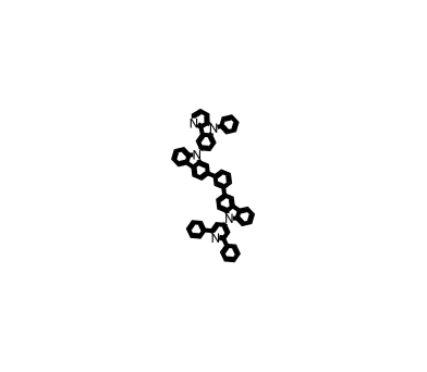 c1ccc(-c2cc(-n3c4ccccc4c4cc(-c5cccc(-c6ccc7c8ccccc8n(-c8ccc9c(c8)c8ncccc8n9-c8ccccc8)c7c6)c5)ccc43)cc(-c3ccccc3)n2)cc1